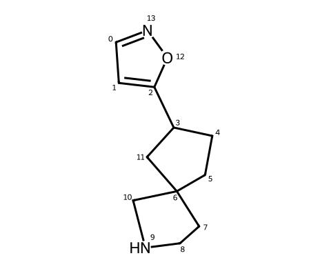 c1cc(C2CCC3(CCNC3)C2)on1